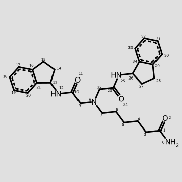 NC(=O)CCCCCN(CC(=O)NC1CCc2ccccc21)CC(=O)NC1CCc2ccccc21